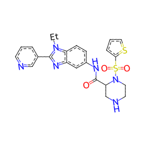 CCn1c(-c2cccnc2)nc2cc(NC(=O)C3CNCCN3S(=O)(=O)c3cccs3)ccc21